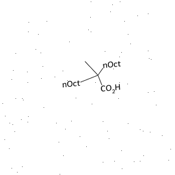 CCCCCCCCC(C)(CCCCCCCC)C(=O)O